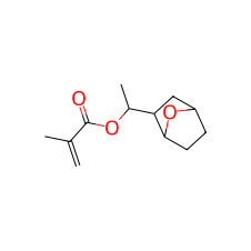 C=C(C)C(=O)OC(C)C1CC2CCC1O2